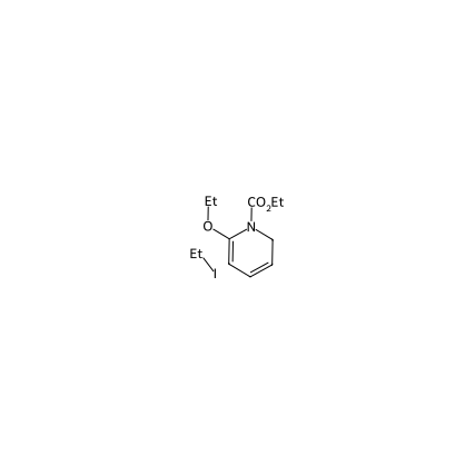 CCI.CCOC(=O)N1CC=CC=C1OCC